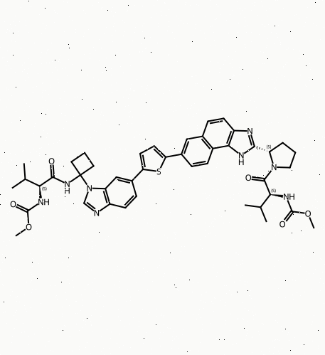 COC(=O)N[C@H](C(=O)NC1(n2cnc3ccc(-c4ccc(-c5ccc6c(ccc7nc([C@@H]8CCCN8C(=O)[C@@H](NC(=O)OC)C(C)C)[nH]c76)c5)s4)cc32)CCC1)C(C)C